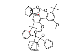 COc1cc(-c2cc(OC)cc(C(C)(C)C)c2OP2OC(c3ccccc3)(c3ccccc3)C(c3ccccc3)(c3ccccc3)O2)c(OP2Oc3ccccc3O2)c(C(C)(C)C)c1